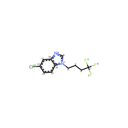 FC(F)(F)CCCn1cnc2cc(Cl)ccc21